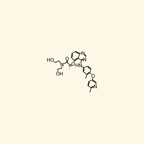 Cc1ccc(Oc2ccc(Nc3ncnc4cccc(O[C@H](C)C(=O)N(CCO)CCO)c34)cc2C)cn1